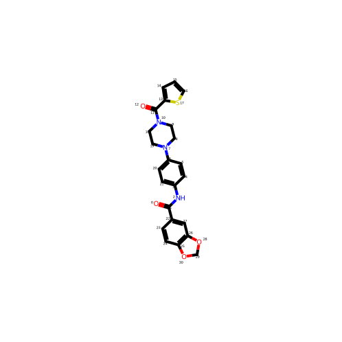 O=C(Nc1ccc(N2CCN(C(=O)c3cccs3)CC2)cc1)c1ccc2c(c1)OCO2